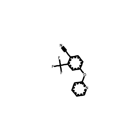 N#Cc1ccc(Oc2ccccn2)cc1C(F)(F)F